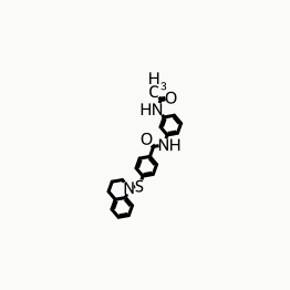 CC(=O)Nc1cccc(NC(=O)c2ccc(SN3CCCc4ccccc43)cc2)c1